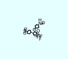 CS(=O)(=O)c1ccc(-c2cnn(CC(F)(F)F)c(=O)c2Oc2ccc(NC=O)cc2)cc1